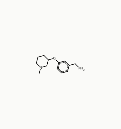 CN1CCCC(Oc2cccc(CN)c2)C1